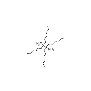 CCCCCCC(N)(CCCCCC)C(N)(CCCCCC)CCCCCC